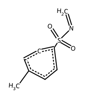 C=NS(=O)(=O)c1ccc(C)cc1